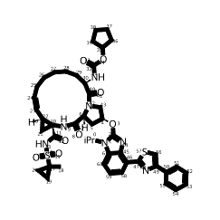 CC(C)n1c(O[C@@H]2C[C@H]3C(=O)N[C@]4(C(=O)NS(=O)(=O)C5(C)CC5)C[C@H]4/C=C\CCCCC[C@H](NC(=O)OC4CCCC4)C(=O)N3C2)nc2c(-c3nc(-c4ccccc4)cs3)cccc21